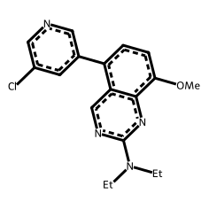 CCN(CC)c1ncc2c(-c3cncc(Cl)c3)ccc(OC)c2n1